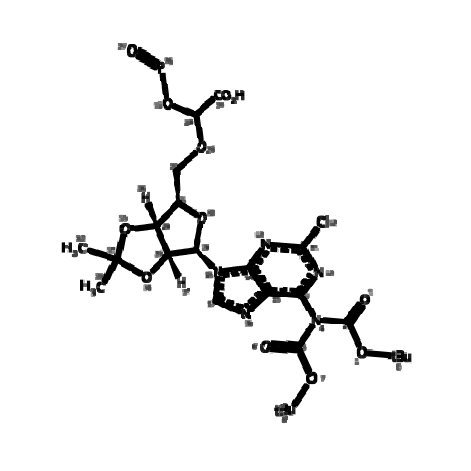 CC(C)(C)OC(=O)N(C(=O)OC(C)(C)C)c1nc(Cl)nc2c1ncn2[C@@H]1O[C@H](COC(OP=O)C(=O)O)[C@H]2OC(C)(C)O[C@H]21